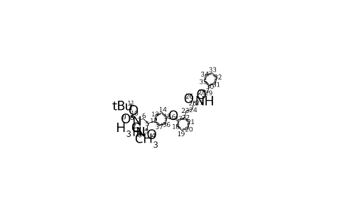 CN(C)C(=O)C(CNC(=O)OC(C)(C)C)c1ccc(Oc2ccccc2CCC(=O)NOCc2ccccc2)cc1